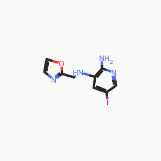 Nc1ncc(I)cc1NCc1ncco1